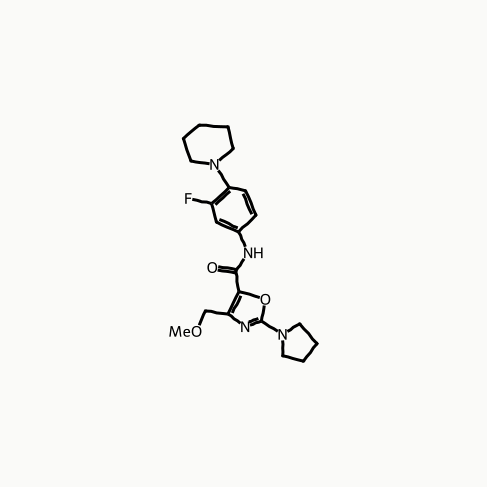 COCc1nc(N2CCCC2)oc1C(=O)Nc1ccc(N2CCCCC2)c(F)c1